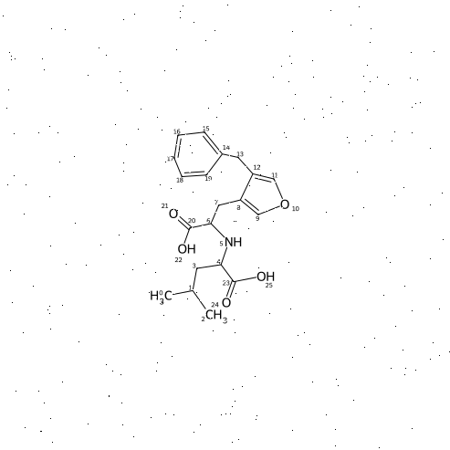 CC(C)CC(NC(Cc1cocc1Cc1ccccc1)C(=O)O)C(=O)O